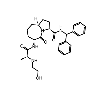 C[C@H](NCCO)C(=O)N[C@H]1CCC[C@H]2CC[C@@H](C(=O)NC(c3ccccc3)c3ccccc3)N2C1=O